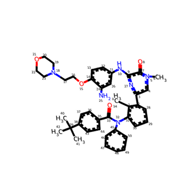 Cc1c(-c2cn(C)c(=O)c(Nc3ccc(OCCN4CCOCC4)c(N)c3)n2)cccc1N(C(=O)c1ccc(C(C)(C)C)cc1)c1ccccc1